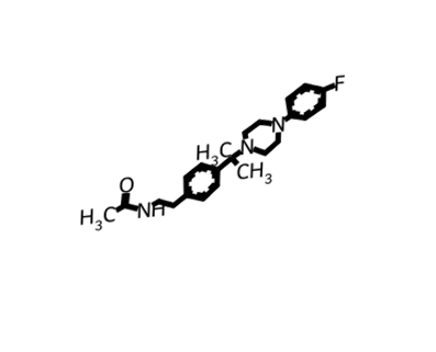 CC(=O)NCCc1ccc(C(C)(C)N2CCN(c3ccc(F)cc3)CC2)cc1